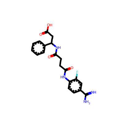 N=C(N)c1ccc(NC(=O)CCC(=O)NC(CC(=O)O)c2ccccc2)c(F)c1